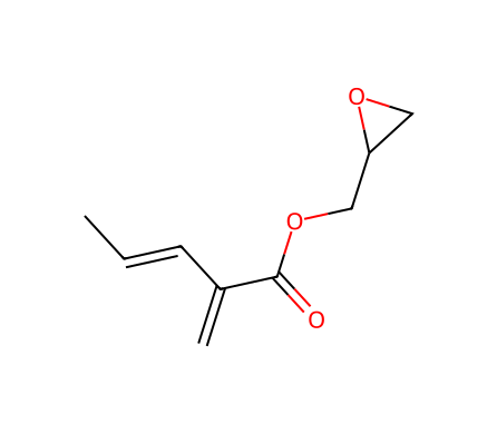 C=C(C=CC)C(=O)OCC1CO1